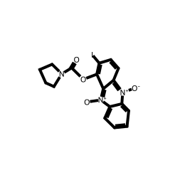 O=C(Oc1c(I)ccc2c1[n+]([O-])c1ccccc1[n+]2[O-])N1CCCC1